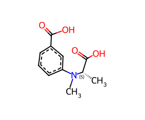 C[C@@H](C(=O)O)N(C)c1cccc(C(=O)O)c1